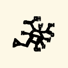 O=C(O)[C@@H]1[C@@H]2CC[C@@H](/C(=C\C3CC3)[C@H]2O)N1C(=O)O